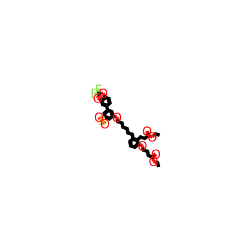 CCOC(=O)CCCOc1cccc(CCCCCCOc2cc(-c3ccc4c(c3)OC(F)(F)O4)cc(S(C)(=O)=O)c2)c1CCC(=O)OCC